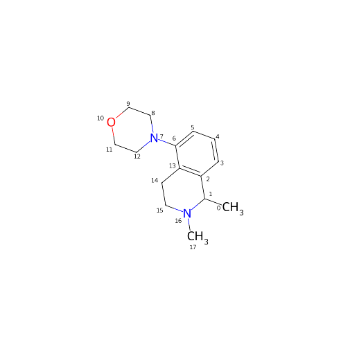 CC1c2cccc(N3CCOCC3)c2CCN1C